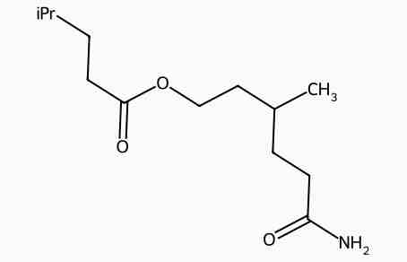 CC(C)CCC(=O)OCCC(C)CCC(N)=O